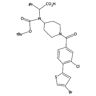 CC(C)C(C(=O)O)N(C(=O)OC(C)(C)C)C1CCN(C(=O)c2ccc(-c3cc(Br)cs3)c(Cl)c2)CC1